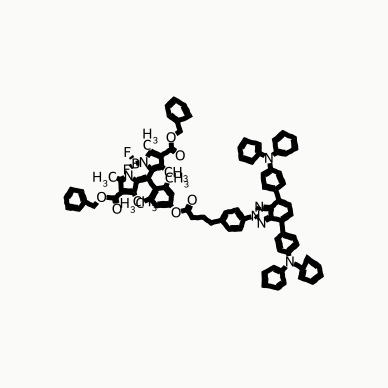 CC1=N/C(=C(/c2c(C)cc(OC(=O)CCCc3ccc(-n4nc5c(-c6ccc(N(c7ccccc7)c7ccccc7)cc6)ccc(-c6ccc(N(c7ccccc7)c7ccccc7)cc6)c5n4)cc3)cc2C)c2c(C)c(C(=O)OCc3ccccc3)c(C)n2B(F)F)C(C)=C1C(=O)OCc1ccccc1